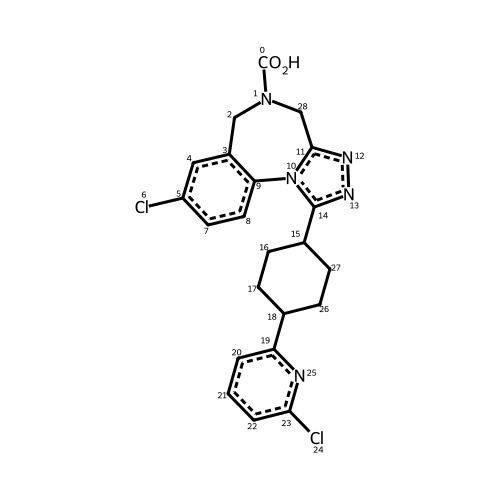 O=C(O)N1Cc2cc(Cl)ccc2-n2c(nnc2C2CCC(c3cccc(Cl)n3)CC2)C1